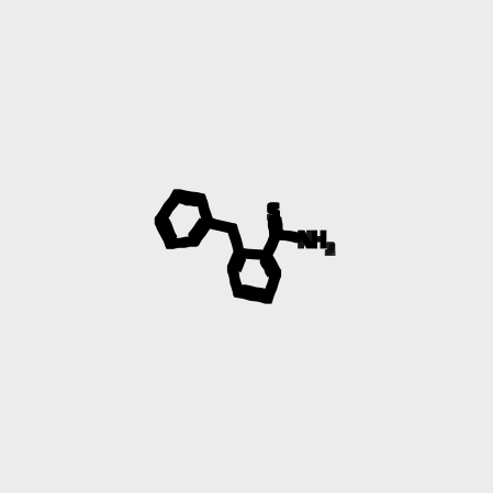 NC(=S)c1ccccc1Cc1ccccc1